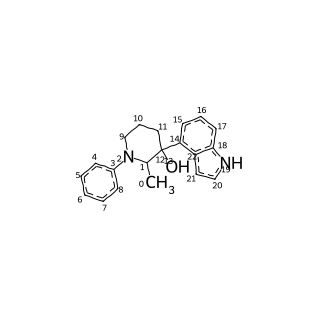 CC1N(c2ccccc2)CCCC1(O)c1cccc2[nH]ccc12